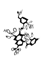 CNCc1ccc(S(=O)(=O)O)c(N=Nc2c(S(=O)(=O)O)cc3cc(S(=O)(=O)O)cc(NC(=O)c4ccccc4S(=O)(=O)O)c3c2O)c1